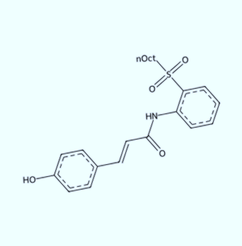 CCCCCCCCS(=O)(=O)c1ccccc1NC(=O)C=Cc1ccc(O)cc1